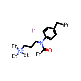 CCC(=O)N(CCC[N+](CC)(CC)CC)c1ccc(CC(C)C)cc1.[I-]